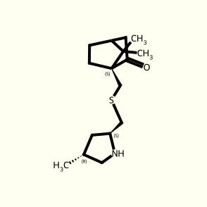 C[C@H]1CN[C@H](CSC[C@]23CCC(CC2=O)C3(C)C)C1